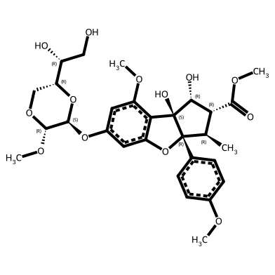 COC(=O)[C@H]1[C@@H](O)[C@@]2(O)c3c(OC)cc(O[C@@H]4O[C@@H]([C@H](O)CO)CO[C@H]4OC)cc3O[C@@]2(c2ccc(OC)cc2)[C@@H]1C